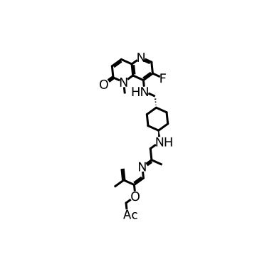 C=C(C)/C(=C\N=C(/C)CN[C@H]1CC[C@H](CNc2c(F)cnc3ccc(=O)n(C)c23)CC1)OCC(C)=O